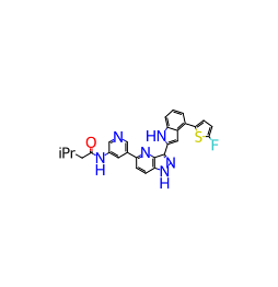 CC(C)CC(=O)Nc1cncc(-c2ccc3[nH]nc(-c4cc5c(-c6ccc(F)s6)cccc5[nH]4)c3n2)c1